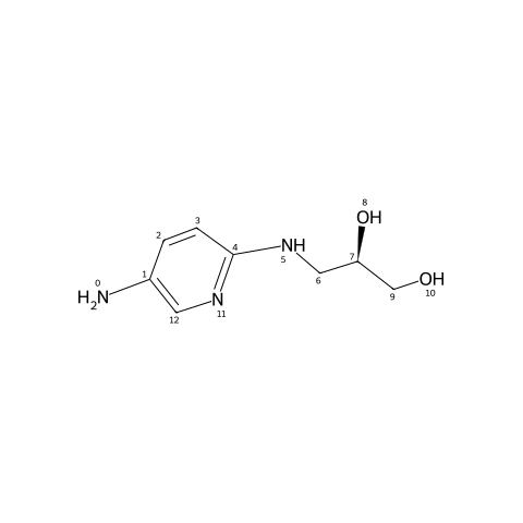 Nc1ccc(NC[C@@H](O)CO)nc1